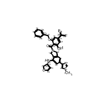 Cn1cnc(-c2cc3c(c(N[C@H]4CCOC4)c2)CN(C(=O)c2c(O)cc(C(F)F)cc2OCc2ccccc2)C3)c1